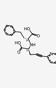 O=C(O)[C@H](CC#Cc1ccccn1)N[C@H](CCc1ccccc1)C(=O)O